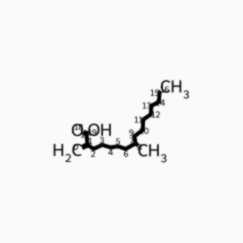 C=C(CCCCCC(C)CCCCCCCC)C(=O)O